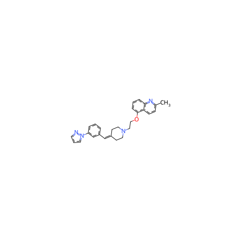 Cc1ccc2c(OCCN3CCC(=Cc4cccc(-n5cccn5)c4)CC3)cccc2n1